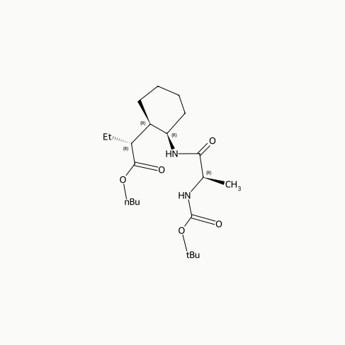 CCCCOC(=O)[C@H](CC)[C@H]1CCCC[C@H]1NC(=O)[C@@H](C)NC(=O)OC(C)(C)C